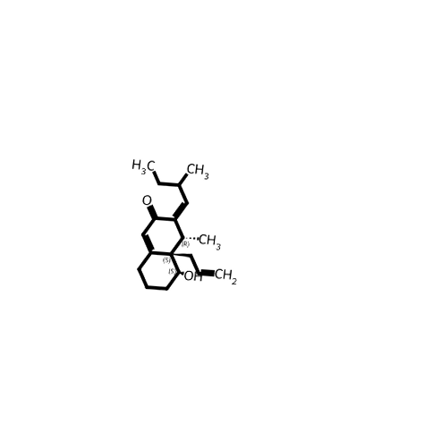 C=CC[C@@]12C(=CC(=O)C(=CC(C)CC)[C@@H]1C)CCC[C@@H]2O